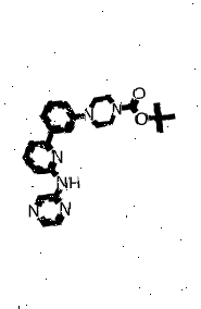 CC(C)(C)OC(=O)N1CCN(c2cccc(-c3cccc(Nc4cnccn4)n3)c2)CC1